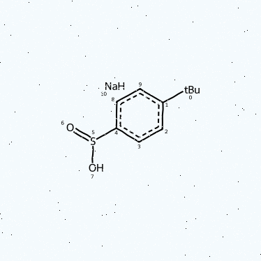 CC(C)(C)c1ccc(S(=O)O)cc1.[NaH]